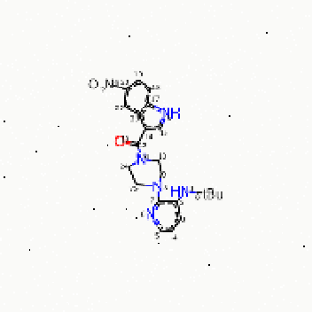 CC(C)(C)Nc1cccnc1N1CCN(C(=O)c2c[nH]c3ccc([N+](=O)[O-])cc23)CC1